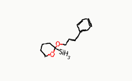 [SiH3]C1(OCCCc2ccccc2)CCCCO1